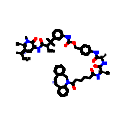 CNC(C(=O)N[C@H](C(=O)N(C)[C@H](/C=C(\C)C(=O)O)C(C)C)C(C)(C)C)C(C)(C)c1cccc(NC(=O)OCc2ccc(NC(=O)[C@H](C)NC(=O)[C@@H](NC(=O)CCCCC(=O)N3Cc4ccccc4/C=C\c4ccccc43)C(C)C)cc2)c1